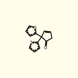 O=C1CC=CC1(c1cccs1)c1cccs1